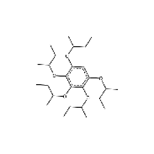 CCC(C)Oc1[c]c(OC(C)CC)c(OC(C)CC)c(OC(C)CC)c1OC(C)CC